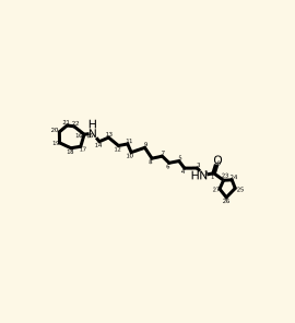 O=C(NCCCCCCCCCCCCNC1CCCCCC1)C1CCCC1